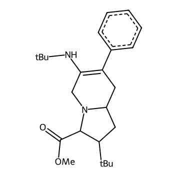 COC(=O)C1C(C(C)(C)C)CC2CC(c3ccccc3)=C(NC(C)(C)C)CN21